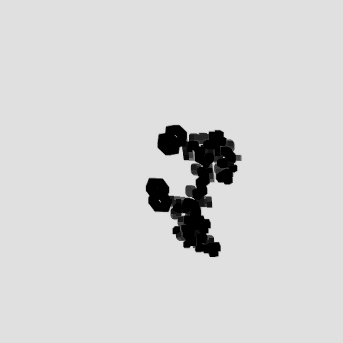 COC(C)(N[C@H](C(=O)N1C[C@@H](NC(=O)CCCC(=O)N[C@H]2C[C@@H](C(=O)N[C@@H]3CCCc4ccccc43)N(C(=O)[C@@H](NC(=O)[C@H](C)N(C)C(=O)OC(C)(C)C)C(C)(C)C)C2)C[C@H]1C(=O)N[C@@H]1CCCc2ccccc21)C(C)(C)C)[C@H](C)N(C)C(=O)OC(C)(C)C